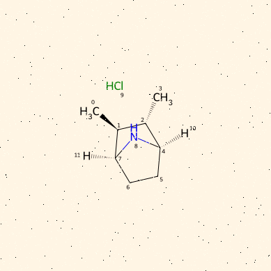 C[C@H]1[C@H](C)[C@H]2CC[C@@H]1N2.Cl